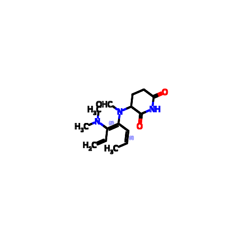 C=C/C(=C(\C=C/C)N(C=O)C1CCC(=O)NC1=O)N(C)C